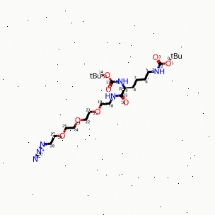 CC(C)(C)OC(=O)NCCCC[C@H](NC(=O)OC(C)(C)C)C(=O)NCCOCCOCCOCCN=[N+]=[N-]